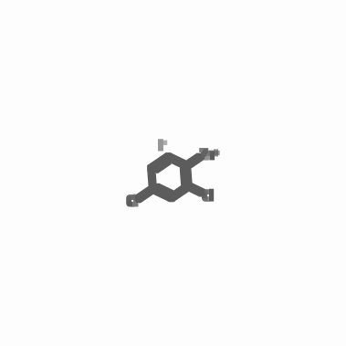 Clc1cc[c]([Zn+])c(Cl)c1.[I-]